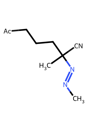 CN=NC(C)(C#N)CCCC(C)=O